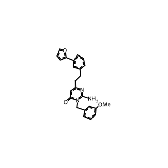 COc1cccc(Cn2c(N)nc(CCc3cccc(-c4ccco4)c3)cc2=O)c1